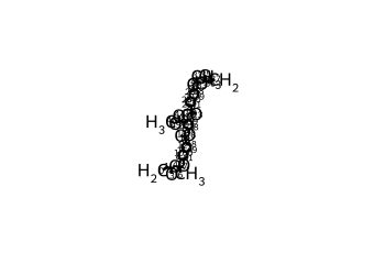 C=CC(=O)OC(C)Oc1ccc2cc(C(=O)Oc3ccc(OC(=O)c4ccc5cc(OC(C)OC(=O)C=C)ccc5c4)c(C(=O)OC)c3)ccc2c1